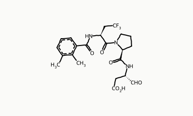 Cc1cccc(C(=O)N[C@@H](CC(F)(F)F)C(=O)N2CCC[C@H]2C(=O)N[C@H](C=O)CC(=O)O)c1C